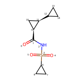 O=C(NS(=O)(=O)C1CC1)[C@H]1C[C@H]1C1CC1